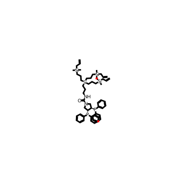 C=CC[Si](C)(C)CCC[Si](CCCNC(=O)N1C[C@@H](P(c2ccccc2)c2ccccc2)[C@H](P(c2ccccc2)c2ccccc2)C1)(CCC[Si](C)(C)CC=C)CCC[Si](C)(C)CC=C